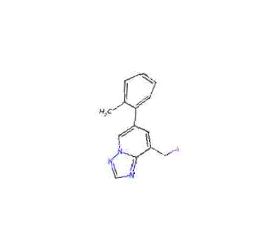 Cc1ccccc1-c1cc(CI)c2ncnn2c1